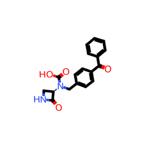 O=C(c1ccccc1)c1ccc(CN(C(=O)O)[C@H]2CNC2=O)cc1